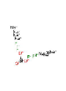 O=[Si]([O-])[O-].[F-].[F-].[F-].[F-].[F-].[F-].[Na+].[Na+].[Na+].[Na+].[Na+].[Na+].[Na+].[Na+]